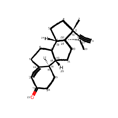 C#C[C@@]1(C)CC[C@H]2C3CCC4=CC(=O)CC[C@]4(C)[C@H]3CC[C@@]21CC